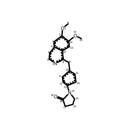 COc1cc2ccnc(Cc3ccc(N4CCCC4=O)cc3)c2cc1OC